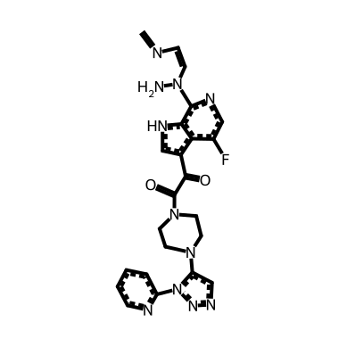 C=N/C=C\N(N)c1ncc(F)c2c(C(=O)C(=O)N3CCN(c4cnnn4-c4ccccn4)CC3)c[nH]c12